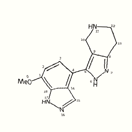 COc1ccc(-c2[nH]nc3c2CNCC3)c2cn[nH]c12